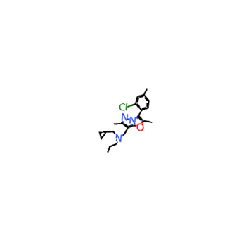 CCCN(Cc1c(C)nn2c(-c3ccc(C)cc3Cl)c(C)oc12)CC1CC1